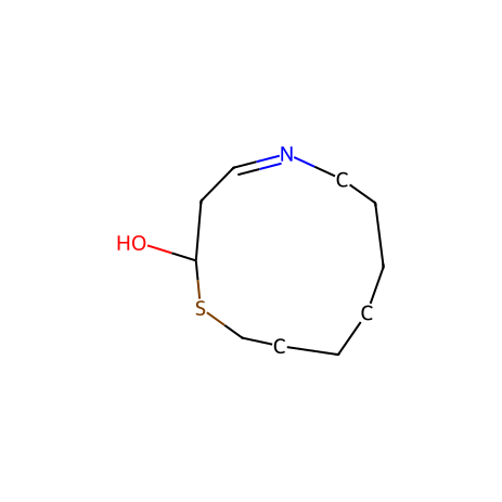 OC1C/C=N\CCCCCCCS1